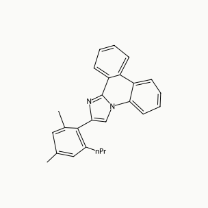 CCCc1cc(C)cc(C)c1-c1cn2c3ccccc3c3ccccc3c2n1